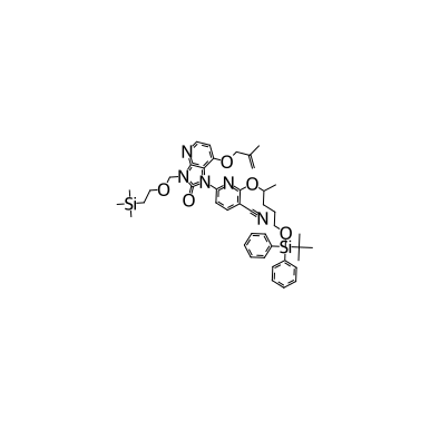 C=C(C)COc1ccnc2c1n(-c1ccc(C#N)c(OC(C)CCCO[Si](c3ccccc3)(c3ccccc3)C(C)(C)C)n1)c(=O)n2COCC[Si](C)(C)C